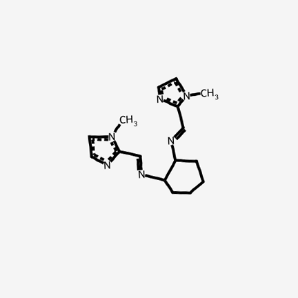 Cn1ccnc1/C=N/C1CCCCC1/N=C/c1nccn1C